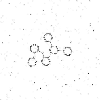 c1ccc(-c2cc(-c3ccccc3)cc(-c3cccc4c3Oc3ccccc3-c3ccccc3-4)c2)cc1